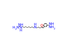 N=C(N)NCCCCCCCCNCCCc1cc2cc(C(=N)N)ccc2o1